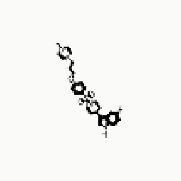 CN1CCN(CCCOc2ccc(S(=O)(=O)N3CCC(c4c[nH]c5ccc(F)cc45)CC3)cc2)CC1